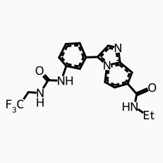 CCNC(=O)c1ccn2c(-c3cccc(NC(=O)NCC(F)(F)F)c3)cnc2c1